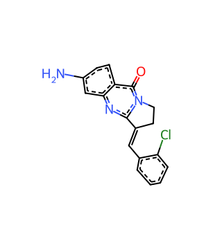 Nc1ccc2c(=O)n3c(nc2c1)C(=Cc1ccccc1Cl)CC3